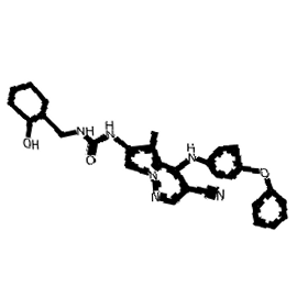 Cc1c(NC(=O)NCC2CCCCC2O)cn2ncc(C#N)c(Nc3ccc(Oc4ccccc4)cc3)c12